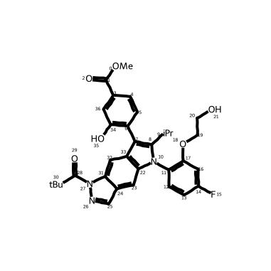 COC(=O)c1ccc(-c2c(C(C)C)n(-c3ccc(F)cc3OCCO)c3cc4cnn(C(=O)C(C)(C)C)c4cc23)c(O)c1